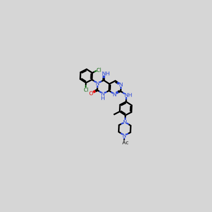 CC(=O)N1CCN(c2ccc(Nc3ncc4c(=N)n(-c5c(Cl)cccc5Cl)c(=O)[nH]c4n3)cc2C)CC1